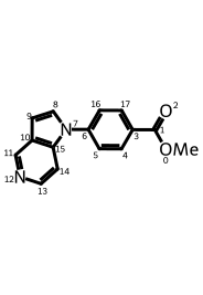 COC(=O)c1ccc(-n2ccc3cnccc32)cc1